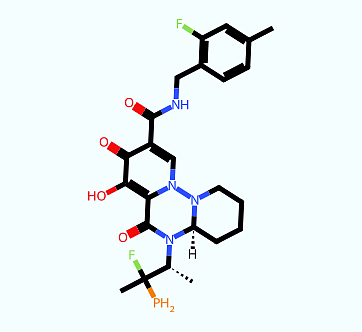 Cc1ccc(CNC(=O)c2cn3c(c(O)c2=O)C(=O)N([C@H](C)C(C)(F)P)[C@@H]2CCCCN23)c(F)c1